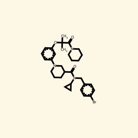 CC(C)(Oc1cccc(N2CCCC(C(=O)N(Cc3ccc(Br)cc3)C3CC3)C2)c1)C(=O)N1CCCCC1